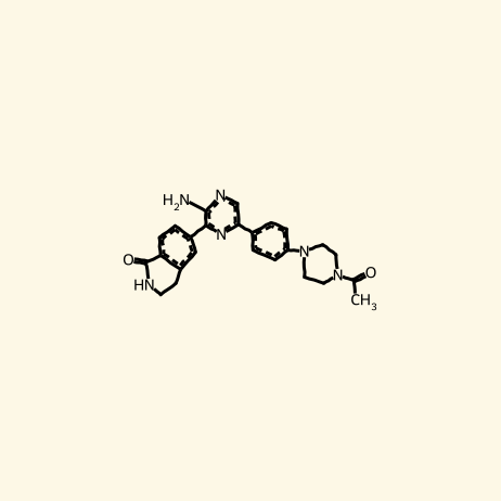 CC(=O)N1CCN(c2ccc(-c3cnc(N)c(-c4ccc5c(c4)CCNC5=O)n3)cc2)CC1